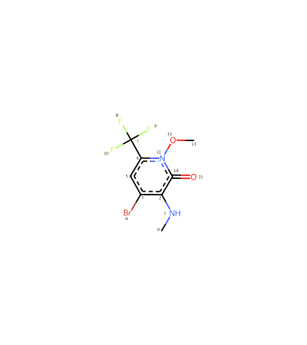 CNc1c(Br)cc(C(F)(F)F)n(OC)c1=O